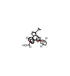 O=C(O)c1cccc(-c2nnc(N3[C@@H]4CC[C@H]3CC(OCc3c(-c5c(Cl)cccc5Cl)noc3C3CC3)C4)o2)n1